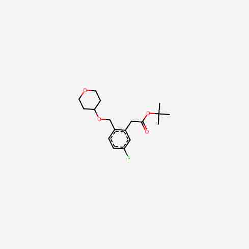 CC(C)(C)OC(=O)Cc1cc(F)ccc1COC1CCOCC1